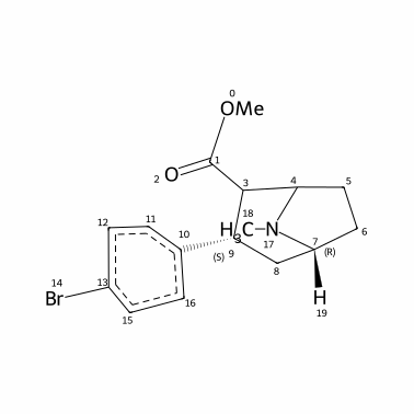 COC(=O)C1C2CC[C@H](C[C@@H]1c1ccc(Br)cc1)N2C